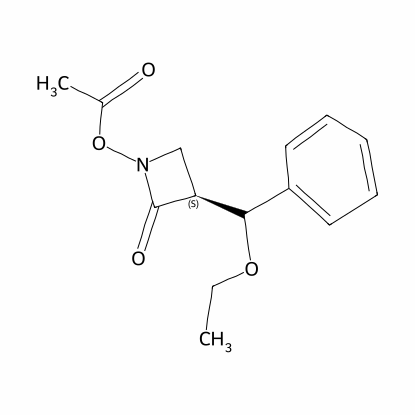 CCOC(c1ccccc1)[C@@H]1CN(OC(C)=O)C1=O